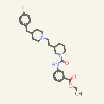 CCOC(=O)c1cccc(NC(=O)N2CCCC(CCN3CCC(Cc4ccc(F)cc4)CC3)C2)c1